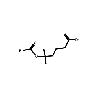 C=C(CC)CCCC(C)(C)OC(=O)CC